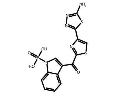 Nc1nnc(-c2csc(C(=O)c3cn(P(=O)(O)O)c4ccccc34)n2)s1